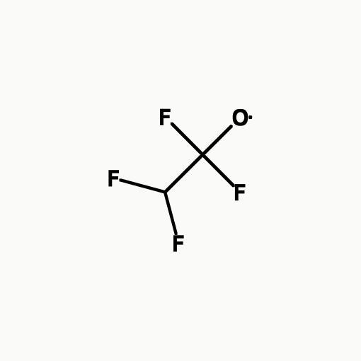 [O]C(F)(F)C(F)F